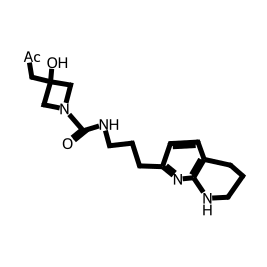 CC(=O)CC1(O)CN(C(=O)NCCCc2ccc3c(n2)NCCC3)C1